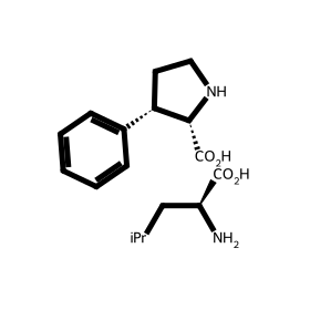 CC(C)C[C@H](N)C(=O)O.O=C(O)[C@H]1NCC[C@H]1c1ccccc1